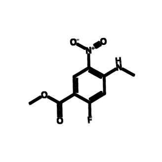 CNc1cc(F)c(C(=O)OC)cc1[N+](=O)[O-]